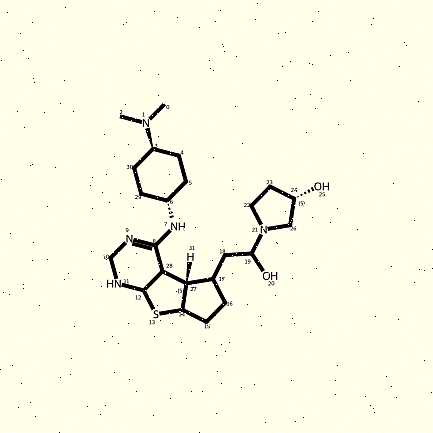 CN(C)[C@H]1CC[C@H](NC2=NCNC3SC4CCC(CC(O)N5CC[C@H](O)C5)[C@H]4C23)CC1